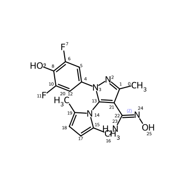 Cc1nn(-c2cc(F)c(O)c(F)c2)c(-n2c(C)ccc2C)c1/C(N)=N/O